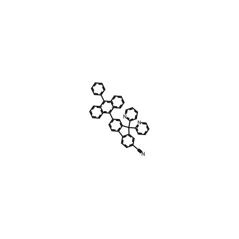 N#Cc1ccc2c(c1)C(c1ccccn1)(c1ccccn1)c1cc(-c3c4ccccc4c(-c4ccccc4)c4ccccc34)ccc1-2